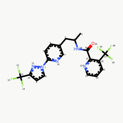 CC(Cc1ccc(-n2ccc(C(F)(F)F)n2)nc1)NC(=O)c1ncccc1C(F)(F)F